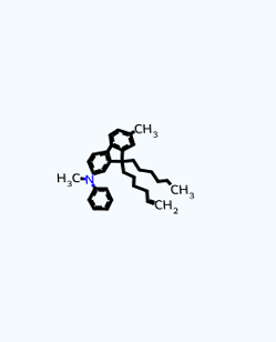 C=CCCCCC1(CCCCCC)c2cc(C)ccc2-c2ccc(N(C)c3ccccc3)cc21